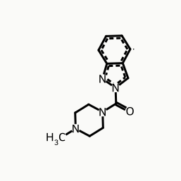 CN1CCN(C(=O)n2cc3[c]cccc3n2)CC1